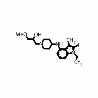 COCC(O)CN1CCC(Nc2cccc3c2c(C)c(I)n3CC(F)(F)F)CC1